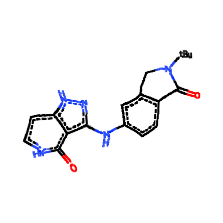 CC(C)(C)N1Cc2cc(Nc3n[nH]c4cc[nH]c(=O)c34)ccc2C1=O